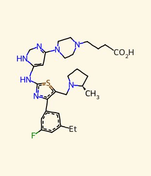 CCc1cc(F)cc(-c2nc(NC3=CC(N4CCN(CCCC(=O)O)CC4)=NCN3)sc2CN2CCC[C@H]2C)c1